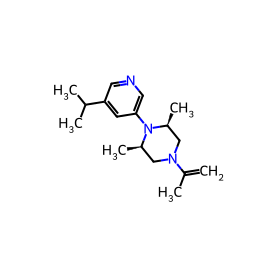 C=C(C)N1C[C@@H](C)N(c2cncc(C(C)C)c2)[C@@H](C)C1